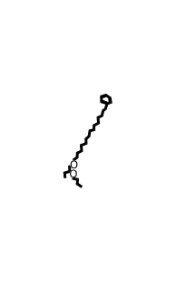 CCCCOC(CC)COCCCCCCCCCCCCCCCCc1ccccc1